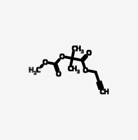 C#CCOC(=O)C(C)(C)OC(=O)OC